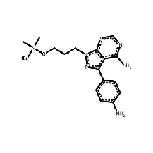 CC(C)(C)[Si](C)(C)OCCCn1nc(-c2ccc(N)cc2)c2c(N)ncnc21